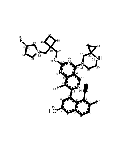 C#Cc1c(F)ccc2cc(O)cc(-c3ncc4c(N5CCNC6(CC6)C5)nc(OCC5(CN6CC[C@@H](F)C6)CCC5)nc4c3F)c12